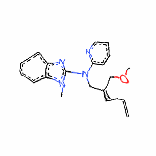 C=C/C=C(\COC)CN(c1ccccn1)c1nc2ccccc2n1C